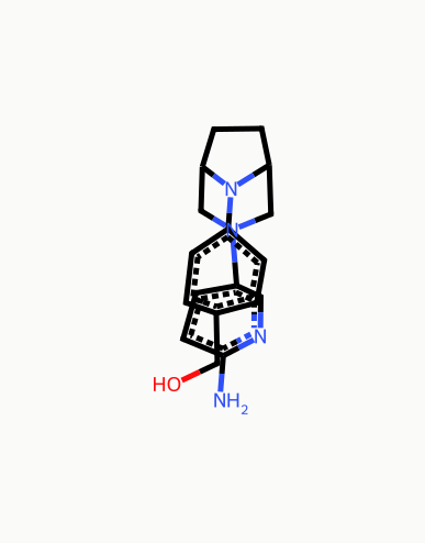 Nc1ccc(N2CC3CCC(C2)N3c2ccc(CO)cc2)cn1